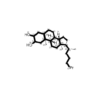 CC(C)CCC[C@@H](C)[C@H]1CC[C@H]2[C@@H]3CCC4CC(O)C(O)C[C@]4(C)[C@H]3CC[C@]12C